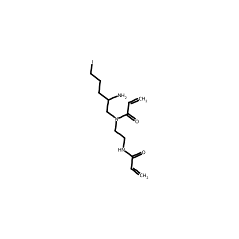 C=CC(=O)NCCN(CC(N)CCCI)C(=O)C=C